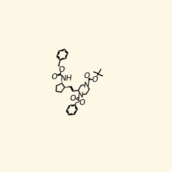 CC(C)(C)OC(=O)N1CCN(S(=O)(=O)c2ccccc2)C(/C=C/[C@H]2CCC[C@@H]2NC(=O)OCc2ccccc2)C1